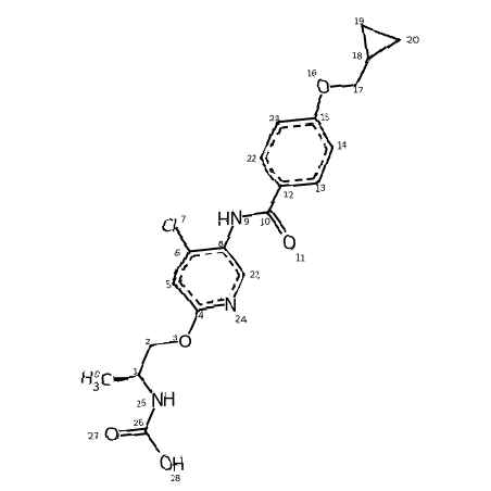 C[C@@H](COc1cc(Cl)c(NC(=O)c2ccc(OCC3CC3)cc2)cn1)NC(=O)O